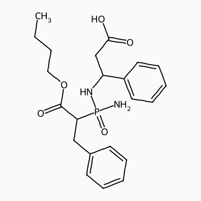 CCCCOC(=O)C(Cc1ccccc1)P(N)(=O)NC(CC(=O)O)c1ccccc1